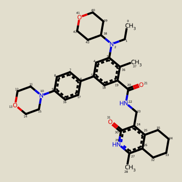 CCN(c1cc(-c2ccc(N3CCOCC3)cc2)cc(C(=O)NCc2c3c(c(C)[nH]c2=O)CCCC3)c1C)C1CCOCC1